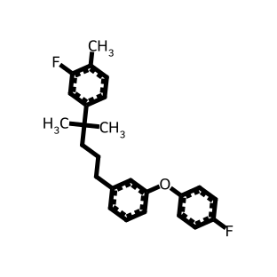 Cc1ccc(C(C)(C)CCCc2cccc(Oc3ccc(F)cc3)c2)cc1F